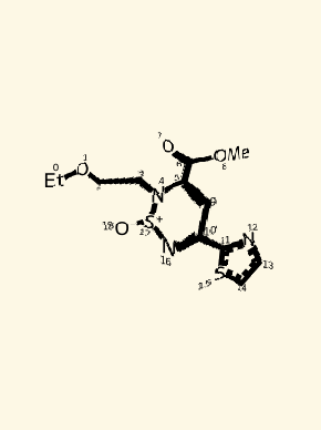 CCOCCN1C(C(=O)OC)=CC(c2nccs2)=N[S+]1[O-]